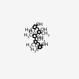 Cc1ccc(O)c(Cc2c(C)c(-c3cc(C)cc(-c4cc(C)c(O)c(Cc5cc(C)ccc5O)c4C)c3O)cc(C)c2O)c1